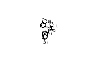 CC1(C)C(=O)N([C@H]2C3CC4CC2C[C@](O)(C4)C3)N1c1cccc2c1OCO2